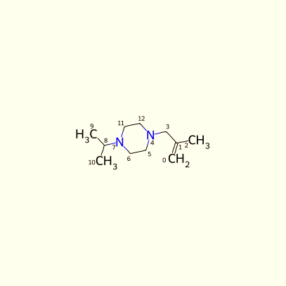 C=C(C)CN1CCN(C(C)C)CC1